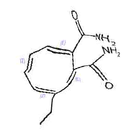 CCC1=C/C=C\C=C(C(N)=O)/C(C(N)=O)=C\1